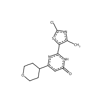 Cc1nc(Cl)sc1-c1nc(C2CCOCC2)cc(=O)[nH]1